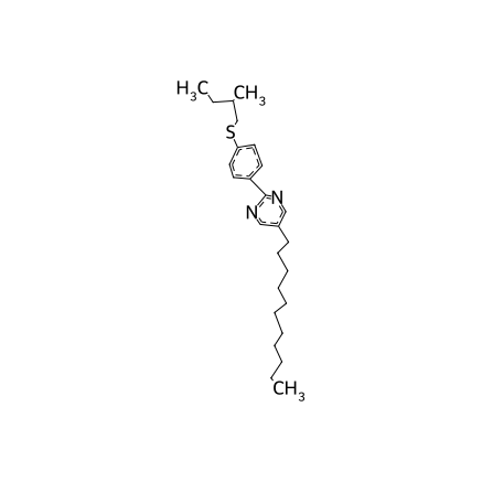 CCCCCCCCCCCc1cnc(-c2ccc(SCC(C)CC)cc2)nc1